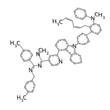 C=N/C(=N\C(=N/Cc1ccc(C)cc1)c1ccc(C)cc1)c1ccnc(-c2cccc3c2c2ccccc2n3-c2ccc(-c3cccc(N(C)c4ccccc4)c3C/C=C\C=C/C)cc2)c1